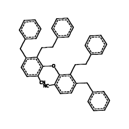 N#Cc1ccc(Cc2ccccc2)c(CCc2ccccc2)c1Oc1c(C#N)ccc(Cc2ccccc2)c1CCc1ccccc1